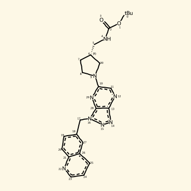 CC(C)(C)OC(=O)NC[C@H]1CCN(c2cnc3nnn(Cc4ccc5ncccc5c4)c3n2)C1